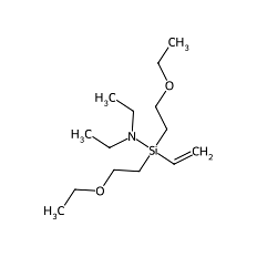 C=C[Si](CCOCC)(CCOCC)N(CC)CC